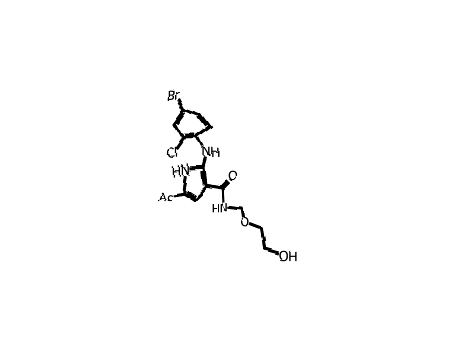 CC(=O)c1cc(C(=O)NCOCCO)c(Nc2ccc(Br)cc2Cl)[nH]1